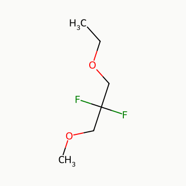 CCOCC(F)(F)COC